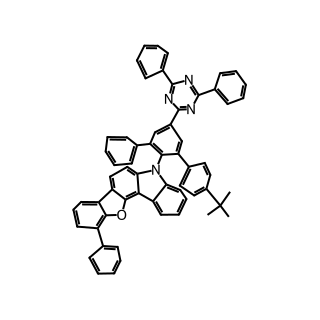 CC(C)(C)c1ccc(-c2cc(-c3nc(-c4ccccc4)nc(-c4ccccc4)n3)cc(-c3ccccc3)c2-n2c3ccccc3c3c4oc5c(-c6ccccc6)cccc5c4ccc32)cc1